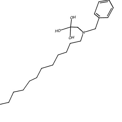 CCCCCCCCCCCCN(Cc1ccccc1)CC(O)(O)O